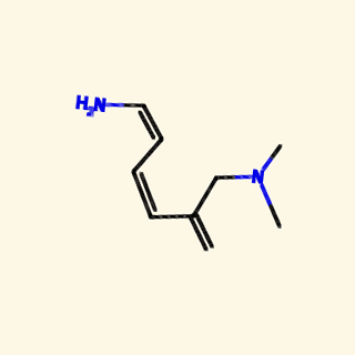 C=C(/C=C\C=C/N)CN(C)C